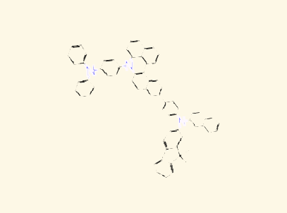 CC1(C)c2ccccc2-c2ccc(N(c3ccc(-c4ccc5c6c(ccc5c4)N(c4ccc(N(c5ccccc5)c5ccccc5)cc4)c4cccc5cccc-6c45)cc3)c3ccc4ccccc4c3)cc21